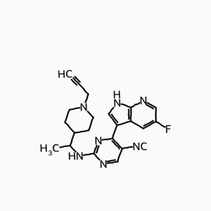 [C-]#[N+]c1cnc(NC(C)C2CCN(CC#C)CC2)nc1-c1c[nH]c2ncc(F)cc12